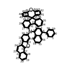 c1ccc(-c2ccc(N(c3ccc4c(c3)oc3c5ccccc5ccc43)c3cccc4c3-c3ccccc3C43c4ccccc4Oc4ccccc43)c3ccccc23)cc1